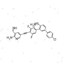 N=Cc1cc(C#Cc2c(F)cc(-c3cc(-c4ccc(Cl)cc4)ccc3S)c(N)c2F)cnc1N